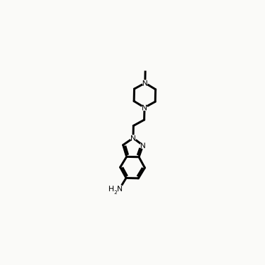 CN1CCN(CCn2cc3cc(N)ccc3n2)CC1